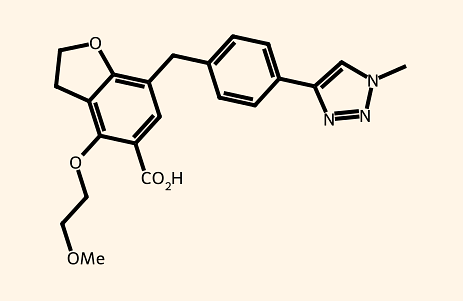 COCCOc1c(C(=O)O)cc(Cc2ccc(-c3cn(C)nn3)cc2)c2c1CCO2